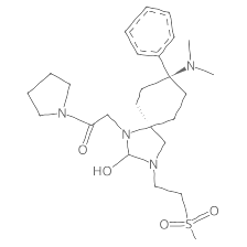 CN(C)[C@]1(c2ccccc2)CC[C@]2(CC1)CN(CCS(C)(=O)=O)C(O)N2CC(=O)N1CCCC1